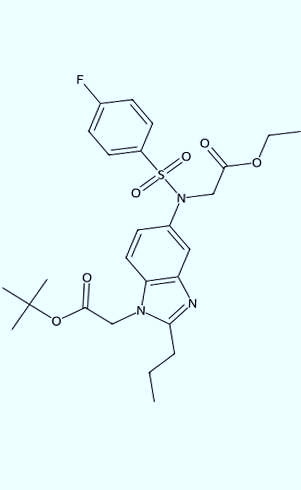 CCCc1nc2cc(N(CC(=O)OCC)S(=O)(=O)c3ccc(F)cc3)ccc2n1CC(=O)OC(C)(C)C